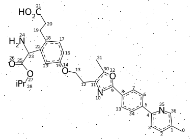 Cc1ccc(-c2ccc(-c3nc(CCOc4ccc(CCC(=O)O)c(C(N)C(=O)OC(C)C)c4)c(C)o3)cc2)nc1